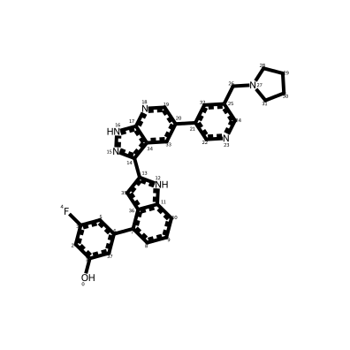 Oc1cc(F)cc(-c2cccc3[nH]c(-c4n[nH]c5ncc(-c6cncc(CN7CCCC7)c6)cc45)cc23)c1